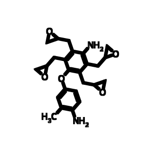 Cc1cc(Oc2c(CC3CO3)c(CC3CO3)c(N)c(CC3CO3)c2CC2CO2)ccc1N